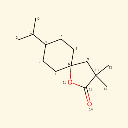 CC(C)C1CCC2(CC1)CC(C)(C)C(=O)O2